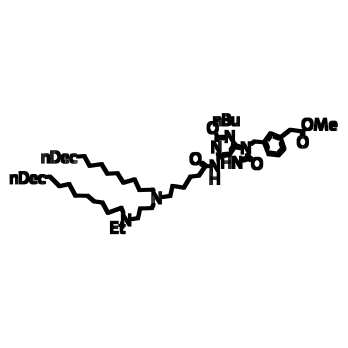 CCCCCCCCCCCCCCCCCCCN(CC)CCCN(CCCCCCCCCCCCCCCCCCC)CCCCCC(=O)Nc1nc(OCCCC)nc2c1[nH]c(=O)n2Cc1cccc(CC(=O)OC)c1